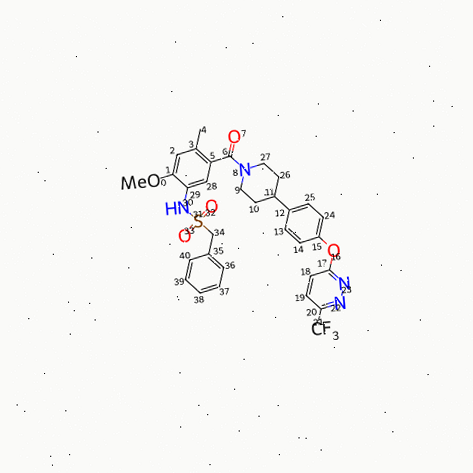 COc1cc(C)c(C(=O)N2CCC(c3ccc(Oc4ccc(C(F)(F)F)nn4)cc3)CC2)cc1NS(=O)(=O)Cc1ccccc1